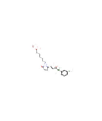 CC(C)OC(=O)CCCCCCN1C(=O)CC[C@@H]1C=C[C@@H](O)C(F)(F)c1cccc(Cl)c1